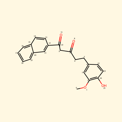 COc1cc(CCC(=O)CC(=O)c2ccc3ccccc3c2)ccc1O